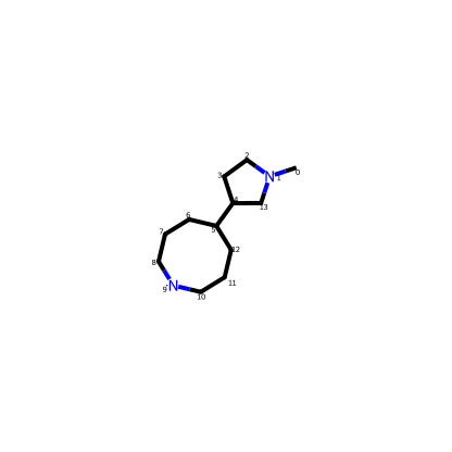 CN1CCC(C2CCC[N]CCC2)C1